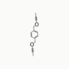 CC#COCc1ccc(COC#CC)cc1